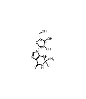 NC1(Cl)NC(=O)c2ncn([C@@H]3O[C@H](CO)[C@@H](O)[C@H]3O)c2N1